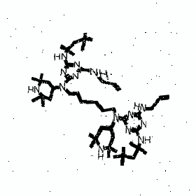 C=CCNc1nc(NC(C)(C)CC(C)(C)C)nc(N(CCCCCCN(c2nc(NCC=C)nc(NC(C)(C)CC(C)(C)C)n2)C2CC(C)(C)NC(C)(C)C2)C2CC(C)(C)NC(C)(C)C2)n1